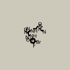 CS(=O)(CCCNc1nonc1/C(=N/O)Nc1ccc(F)c(Br)c1)=NC#N